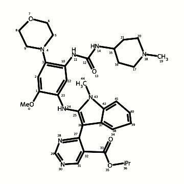 COc1cc(N2CCOCC2)c(NC(=O)NC2CCN(C)CC2)cc1Nc1c(-c2ncncc2C(=O)OC(C)C)c2ccccc2n1C